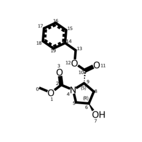 COC(=O)N1C[C@H](O)C[C@H]1C(=O)OCc1ccccc1